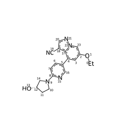 CCOc1cc(-c2ccc(N3CC[C@H](O)C3)nc2)c2c(C#N)cnn2c1